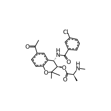 CN[C@@H](C)C(=O)O[C@@H]1[C@@H](NC(=O)c2cccc(Cl)c2)c2cc(C(C)=O)ccc2OC1(C)C